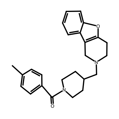 Cc1ccc(C(=O)N2CCC(CN3CCc4oc5ccccc5c4C3)CC2)cc1